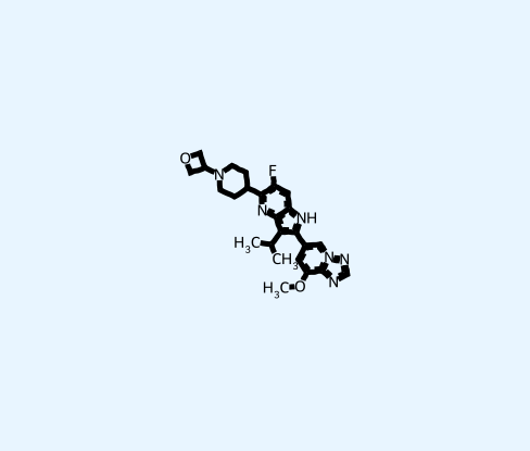 COc1cc(-c2[nH]c3cc(F)c(C4CCN(C5COC5)CC4)nc3c2C(C)C)cn2ncnc12